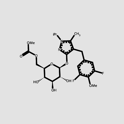 COC(=O)OC[C@H]1O[C@@H](Oc2nn(C(C)C)c(C)c2Cc2cc(F)c(OC)c(F)c2)[C@H](O)[C@@H](O)[C@@H]1O